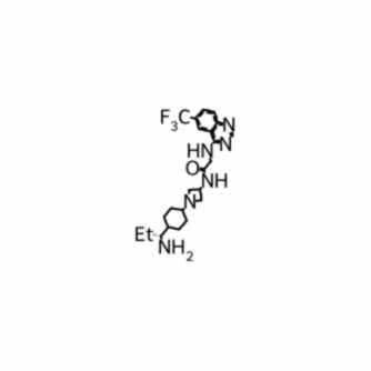 CC[C@@H](N)C1CCC(N2CC(NC(=O)CNc3ncnc4ccc(C(F)(F)F)cc34)C2)CC1